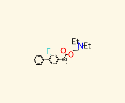 CCN(CC)CCOC(=O)[C@H](C)c1ccc(-c2ccccc2)c(F)c1